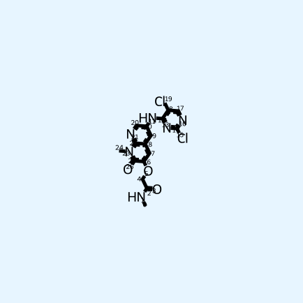 CNC(=O)COc1cc2cc(Nc3nc(Cl)ncc3Cl)cnc2n(C)c1=O